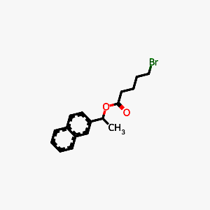 CC(OC(=O)CCCCBr)c1ccc2ccccc2c1